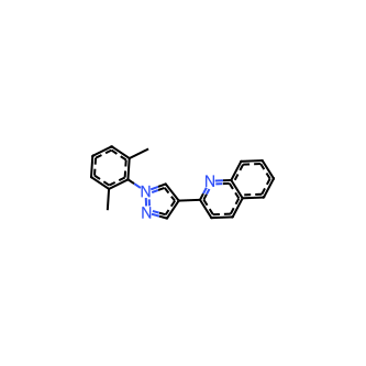 Cc1cccc(C)c1-n1cc(-c2ccc3ccccc3n2)cn1